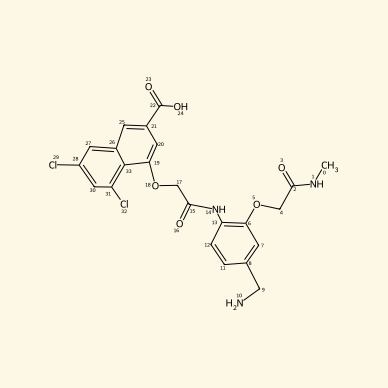 CNC(=O)COc1cc(CN)ccc1NC(=O)COc1cc(C(=O)O)cc2cc(Cl)cc(Cl)c12